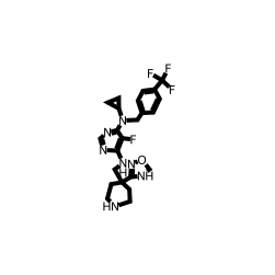 Fc1c(NCC2(C3=NOCN3)CCNCC2)ncnc1N(Cc1ccc(C(F)(F)F)cc1)C1CC1